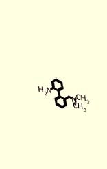 CN(C)Cc1ccccc1-c1cc[c]cc1N